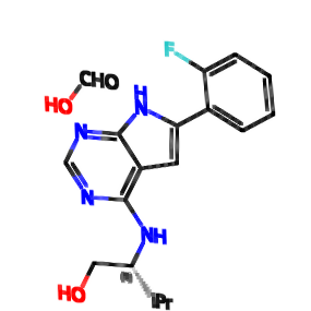 CC(C)[C@H](CO)Nc1ncnc2[nH]c(-c3ccccc3F)cc12.O=CO